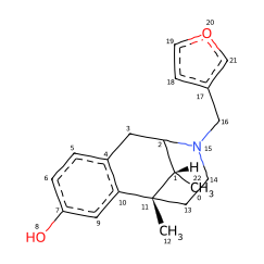 C[C@H]1C2Cc3ccc(O)cc3[C@@]1(C)CCN2Cc1ccoc1